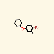 Cc1cc(OC2CCCCC2)ccc1Br